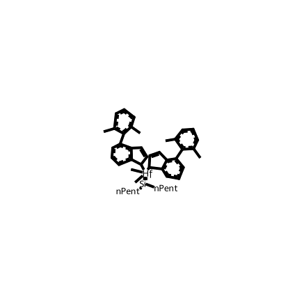 CCCCC[Si](CCCCC)=[Hf]([CH3])([CH3])([CH]1C=Cc2c(-c3c(C)cccc3C)cccc21)[CH]1C=Cc2c(-c3c(C)cccc3C)cccc21